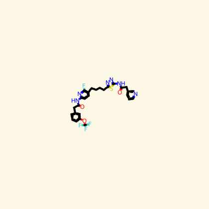 O=C(Cc1cccc(OC(F)(F)F)c1)Nc1ccc(CCCCc2nnc(NC(=O)Cc3cccnc3)s2)c(F)n1